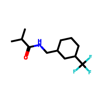 CC(C)C(=O)NCC1CCCC(C(F)(F)F)C1